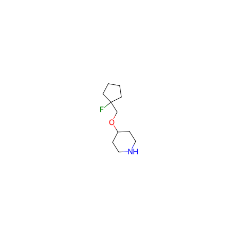 FC1(COC2CCNCC2)CCCC1